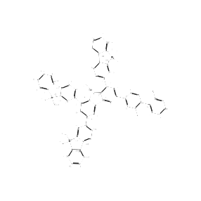 Cc1ccccc1-c1ccc(-c2cc(-c3ccc4c(c3)C(C)(C)c3ccccc3-4)c3c(c2)c2cc(-c4ccc5c(c4)C(C)(C)c4ccccc4-5)cc(-c4ccc5c(c4)C(C)(C)c4ccccc4-5)c2n3C)cc1C